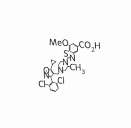 COc1cc(C(=O)O)cc2nc(N3CCN(Cc4c(-c5c(Cl)cccc5Cl)noc4C4CC4)CC3C)sc12